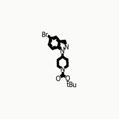 CC(C)(C)OC(=O)N1CCC(n2ncc3cc(Br)ccc32)CC1